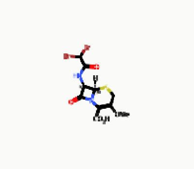 COC1=C(C(=O)O)N2C(=O)[C@@H](NC(=O)C(Br)Br)[C@H]2SC1